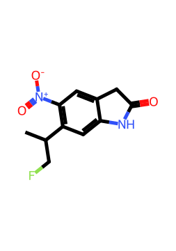 CC(CF)c1cc2c(cc1[N+](=O)[O-])CC(=O)N2